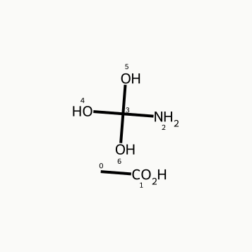 CC(=O)O.NC(O)(O)O